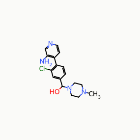 CN1CCN(C(O)c2ccc(-c3ccncc3N)c(Cl)c2)CC1